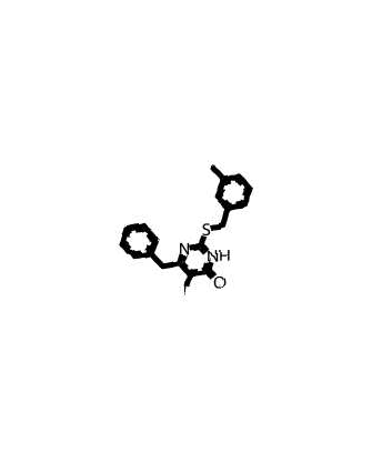 Cc1cccc(CSc2nc(Cc3ccccc3)c(I)c(=O)[nH]2)c1